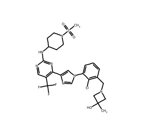 CC1(O)CN(Cc2cccc(-n3cnc(-c4nc(NC5CCN(S(C)(=O)=O)CC5)ncc4C(F)(F)F)c3)c2Cl)C1